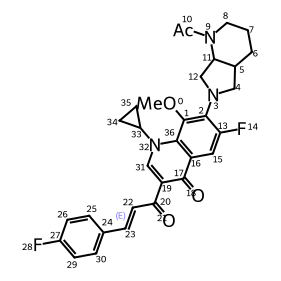 COc1c(N2CC3CCCN(C(C)=O)C3C2)c(F)cc2c(=O)c(C(=O)/C=C/c3ccc(F)cc3)cn(C3CC3)c12